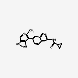 Cc1ncc2[nH]ncc2c1-c1ccc2cc(NC(=O)C3CC3)ncc2c1